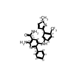 Cn1ccc(-c2cc(Nc3cc(C(N)=O)c(N)nc3-c3ccccc3)ccc2C(F)(F)F)n1